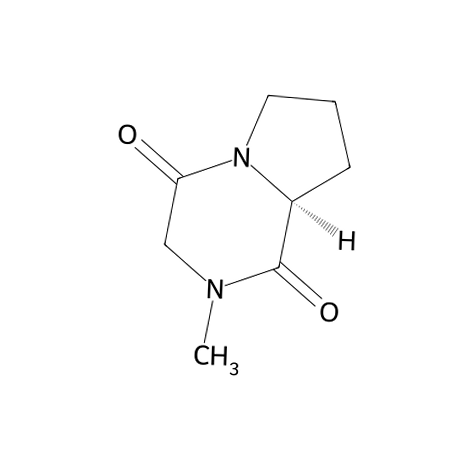 CN1CC(=O)N2CCC[C@H]2C1=O